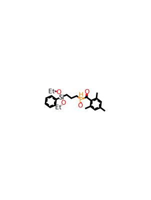 CCO[Si](CCC[PH](=O)C(=O)c1c(C)cc(C)cc1C)(OCC)c1ccccc1